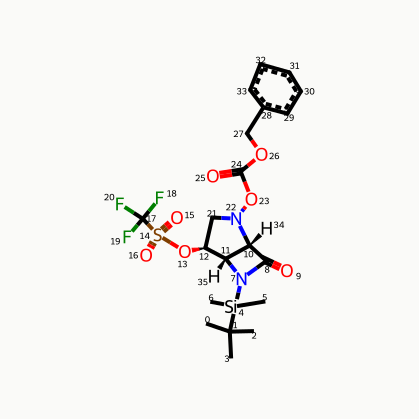 CC(C)(C)[Si](C)(C)N1C(=O)[C@@H]2[C@H]1[C@@H](OS(=O)(=O)C(F)(F)F)CN2OC(=O)OCc1ccccc1